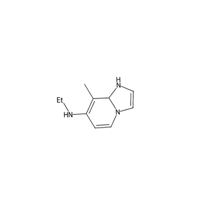 CCNC1=C(C)C2NC=CN2C=C1